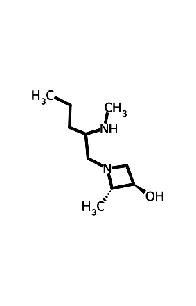 CCCC(CN1C[C@@H](O)[C@@H]1C)NC